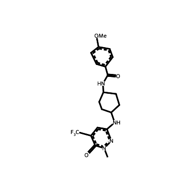 COc1ccc(C(=O)NC2CCC(Nc3cc(C(F)(F)F)c(=O)n(C)n3)CC2)cc1